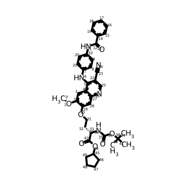 COc1cc2c(Nc3ccc(NC(=O)c4ccccc4)cc3)c(C#N)cnc2cc1OCC[C@H](NC(=O)OC(C)(C)C)C(=O)OC1CCCC1